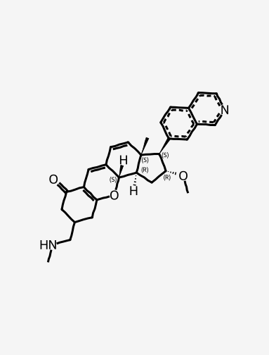 CNCC1CC(=O)C2=C(C1)O[C@@H]1C(=C2)C=C[C@@]2(C)[C@H]1C[C@@H](OC)[C@@H]2c1ccc2ccncc2c1